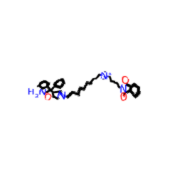 C[N+](C)(CCCCCCCCCCN1CCC(C(C(N)=O)(c2ccccc2)c2ccccc2)C1)CCCCN1C(=O)c2ccccc2C1=O